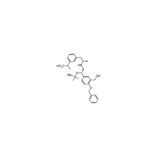 CC(C(=O)O)c1cccc(C[C@@H](C)NC[C@H](O[Si](C)(C)C(C)(C)C)c2ccc(OCc3ccccc3)c(CO)c2)c1